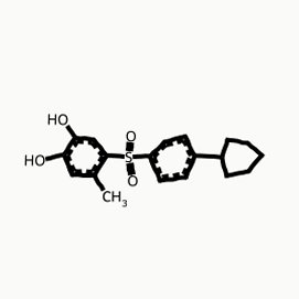 Cc1cc(O)c(O)cc1S(=O)(=O)c1ccc(C2CCCCC2)cc1